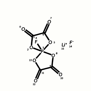 O=C1OP2(F)(OC1=O)OC(=O)C(=O)O2.[F-].[Li+]